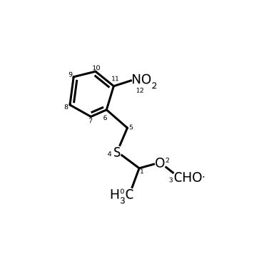 CC(O[C]=O)SCc1ccccc1[N+](=O)[O-]